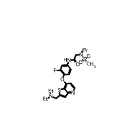 CCN(CC)Cc1cc2nccc(Oc3ccc(NC(=O)CN(C(C)C)S(C)(=O)=O)cc3F)c2s1